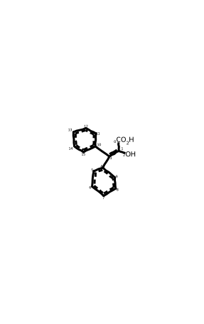 O=C(O)C(O)=C(c1ccccc1)c1ccccc1